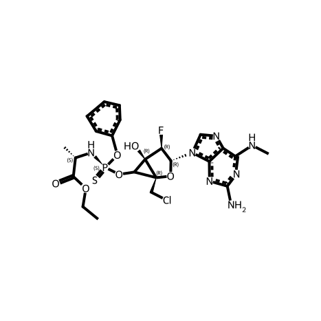 CCOC(=O)[C@H](C)N[P@@](=S)(Oc1ccccc1)OC1[C@@]2(CCl)O[C@@H](n3cnc4c(NC)nc(N)nc43)[C@H](F)[C@@]12O